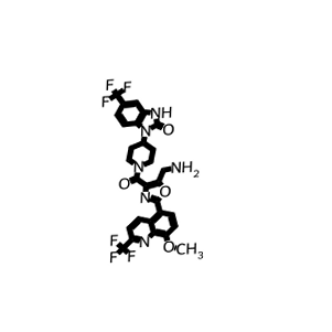 COc1ccc(-c2nc(C(=O)N3CCC(n4c(=O)[nH]c5cc(C(F)(F)F)ccc54)CC3)c(CN)o2)c2ccc(C(F)(F)F)nc12